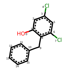 Oc1cc(Cl)cc(Cl)c1Cc1ccccc1